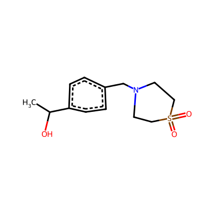 CC(O)c1ccc(CN2CCS(=O)(=O)CC2)cc1